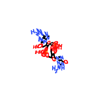 Nc1nc2c(ncn2C2OC3COP(=O)(O)OC4C(COP(=O)(O)OC2C3CO)OC(n2cnc3c(N)ncnc32)C4CO)c(=O)[nH]1